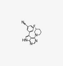 N#Cc1cccc(-c2c[nH]c3ncnc(N4CCCC(F)C4)c23)c1